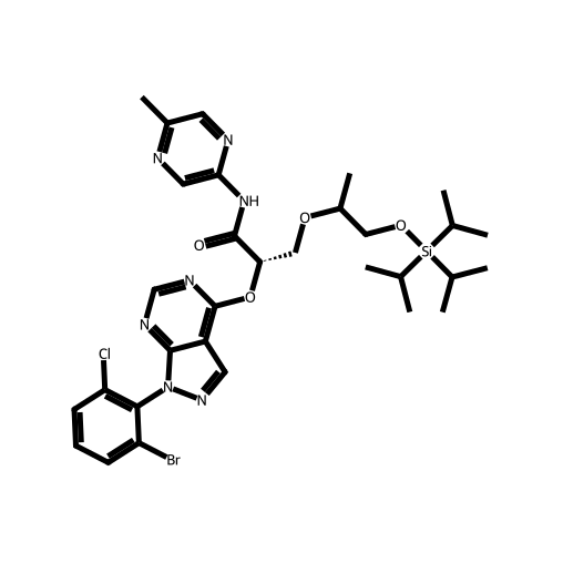 Cc1cnc(NC(=O)[C@H](COC(C)CO[Si](C(C)C)(C(C)C)C(C)C)Oc2ncnc3c2cnn3-c2c(Cl)cccc2Br)cn1